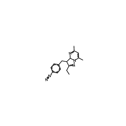 CCC1=NN2C(C)=CC(C)=NC2C1Cc1ccc([N+]#N)cc1